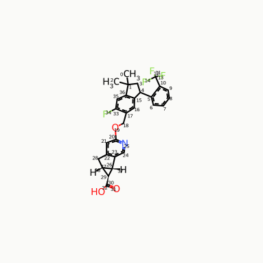 CC1(C)CC(c2ccccc2C(F)(F)F)c2cc(COc3cc4c(cn3)[C@H]3[C@@H](C4)[C@@H]3C(=O)O)c(F)cc21